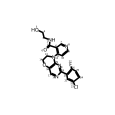 O=C(NCCO)c1cnccc1N1CCOc2cnc(-c3cc(Cl)ccc3F)nc21